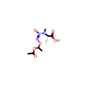 CC(=O)OC(C)O/N=[N+](/[O-])N(C)[C@@H](C)C(=O)O